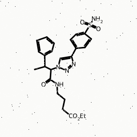 CCOC(=O)CCCNC(=O)C(C(C)c1ccccc1)n1cc(-c2ccc(S(N)(=O)=O)cc2)nn1